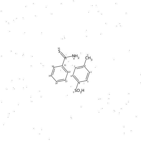 Cc1ccc(S(=O)(=O)O)cc1.NC(=S)c1ccccc1